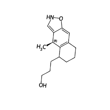 C[C@H]1C2=CNOC2=CC2=C1C(CCCO)CCC2